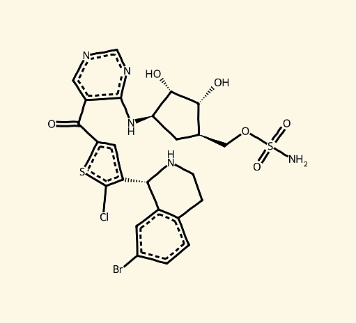 NS(=O)(=O)OC[C@H]1C[C@@H](Nc2ncncc2C(=O)c2cc([C@@H]3NCCc4ccc(Br)cc43)c(Cl)s2)[C@H](O)[C@@H]1O